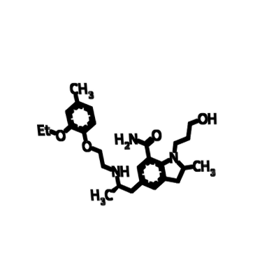 CCOc1cc(C)ccc1OCCN[C@H](C)Cc1cc2c(c(C(N)=O)c1)N(CCCO)C(C)C2